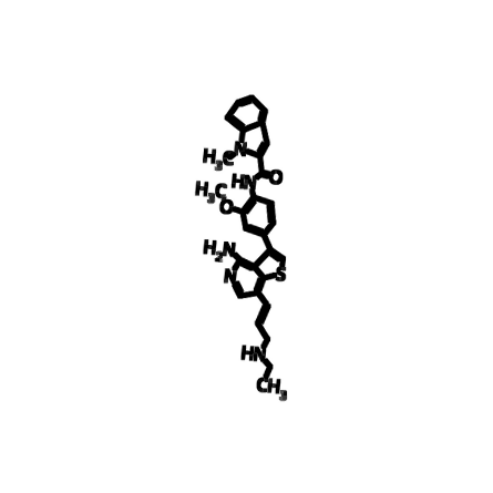 CCNCC=Cc1cnc(N)c2c(-c3ccc(NC(=O)c4cc5ccccc5n4C)c(OC)c3)csc12